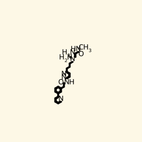 CNC(=O)/C(N)=C/N(N)CCCCc1ccc(NC(=O)Cc2cccc(-c3ccccn3)c2)nn1